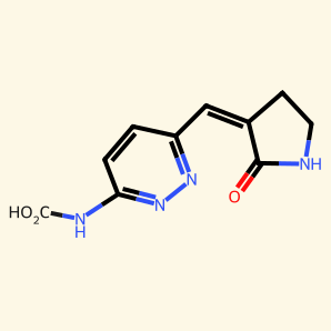 O=C(O)Nc1ccc(C=C2CCNC2=O)nn1